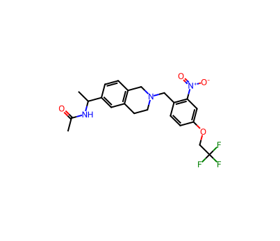 CC(=O)NC(C)c1ccc2c(c1)CCN(Cc1ccc(OCC(F)(F)F)cc1[N+](=O)[O-])C2